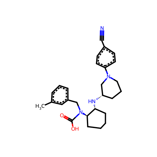 Cc1cccc(CN(C(=O)O)[C@@H]2CCCC[C@H]2N[C@H]2CCCN(c3ccc(C#N)cc3)C2)c1